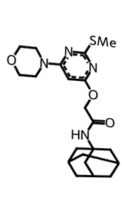 CSc1nc(OCC(=O)NC23CC4CC(CC(C4)C2)C3)cc(N2CCOCC2)n1